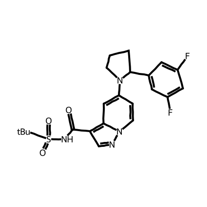 CC(C)(C)S(=O)(=O)NC(=O)c1cnn2ccc(N3CCCC3c3cc(F)cc(F)c3)cc12